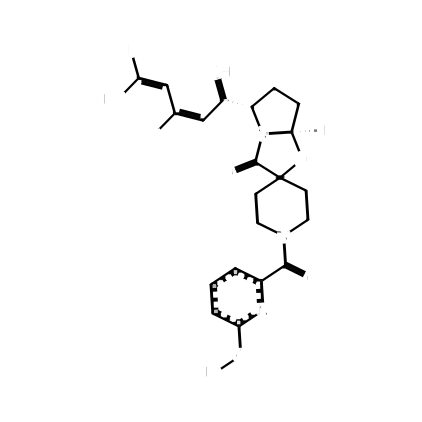 C=C(/C=C(F)\C=C(/C)F)[C@@H]1CC[C@H]2OC3(CCN(C(=O)c4cccc(OC(C)C)n4)CC3)C(=O)N21